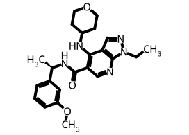 CCn1ncc2c(NC3CCOCC3)c(C(=O)N[C@H](C)c3cccc(OC)c3)cnc21